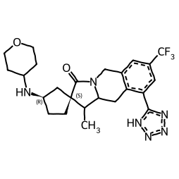 CC1C2Cc3c(cc(C(F)(F)F)cc3-c3nnn[nH]3)CN2C(=O)[C@]12CC[C@@H](NC1CCOCC1)C2